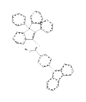 C=N/C(=N\C1=C(c2ccccc2)C(c2ccccc2)(c2ccccc2)c2ccccc21)c1ccc(-n2c3ccccc3c3ccccc32)cc1